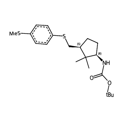 CSc1ccc(SC[C@H]2CC[C@@H](NC(=O)OC(C)(C)C)C2(C)C)cc1